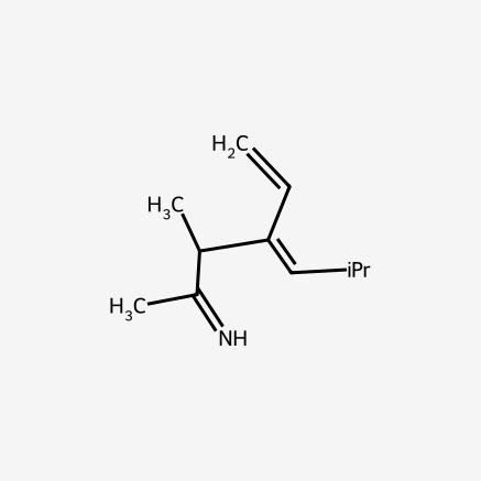 C=C/C(=C\C(C)C)C(C)C(C)=N